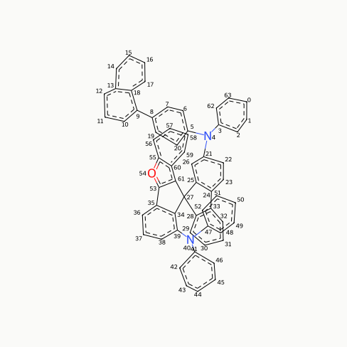 c1ccc(N(c2ccc(-c3cccc4ccccc34)cc2)c2ccc3c(c2)C2(c4ccccc4-3)c3c(cccc3N(c3ccccc3)c3ccccc3)-c3oc4ccccc4c32)cc1